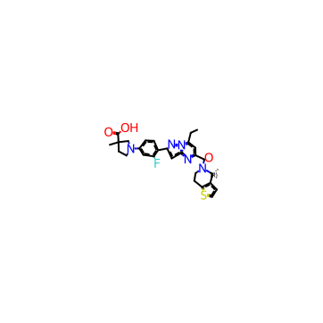 CCc1cc(C(=O)N2CCc3sccc3[C@H]2C)nc2cc(-c3ccc(N4CCC(C)(C(=O)O)C4)cc3F)nn12